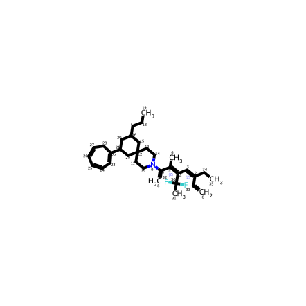 C=C/C(=C\C(=C(/C)C(=C)N1CCC2(CC1)CC(CCC)CC(C1=CC=CC=CC1)C2)C(C)(F)F)CC